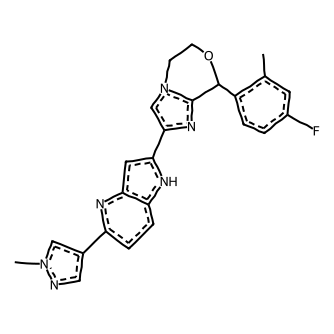 Cc1cc(F)ccc1C1OCCn2cc(-c3cc4nc(-c5cnn(C)c5)ccc4[nH]3)nc21